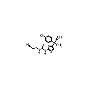 C#CC(C)(c1ccc(Cl)cc1)c1csc(NC(=O)NCCC#N)n1